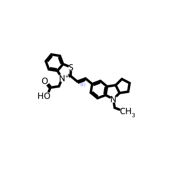 CCN1c2ccc(/C=C/c3sc4ccccc4[n+]3CC(=O)O)cc2C2CCCC21